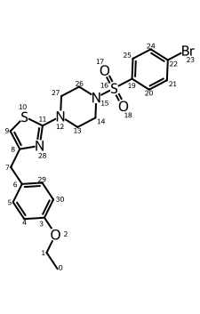 CCOc1ccc(Cc2csc(N3CCN(S(=O)(=O)c4ccc(Br)cc4)CC3)n2)cc1